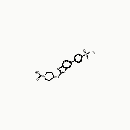 CS(=O)(=O)c1ccc(-c2ccc3nc(OC4CCN(C(=O)O)CC4)sc3c2)cc1